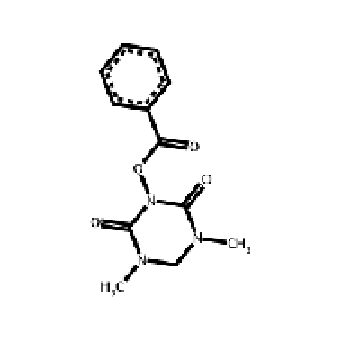 CN1CN(C)C(=O)N(OC(=O)c2ccccc2)C1=O